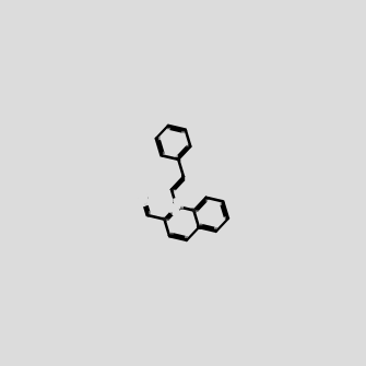 O=Cc1ccc2ccccc2[n+]1C=Cc1ccccc1